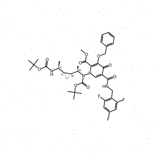 COC(=O)c1c(OCc2ccccc2)c(=O)c(C(=O)NCc2c(F)cc(F)cc2F)cn1N(C(=O)OC(C)(C)C)[C@H](C)[C@@H]1C[C@@H]1[C@H](C)NC(=O)OC(C)(C)C